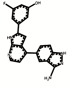 Nc1n[nH]c2ccc(-c3ccnc4[nH]c(-c5cc(O)cc(F)c5)cc34)cc12